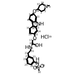 CN1CCC(Oc2ccc3c(c2)[nH]c2cc(OCC(O)NCCc4cccc(NS(C)(=O)=O)c4)ccc23)CC1.Cl